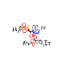 CCOC(=O)C(OC(=O)NC(CCO[PH](C)=O)C(=O)O)OC(=O)C(C)C